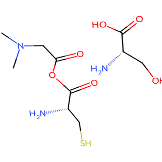 CN(C)CC(=O)OC(=O)[C@@H](N)CS.N[C@@H](CO)C(=O)O